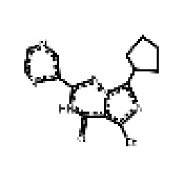 CCc1nc(C2CCCC2)n2nc(-c3cnccn3)[nH]c(=O)c12